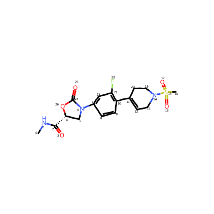 CNC(=O)[C@H]1CN(c2ccc(C3=CCN(S(C)(=O)=O)CC3)c(F)c2)C(=O)O1